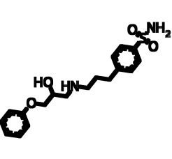 NS(=O)(=O)c1ccc(CCCNCC(O)COc2ccccc2)cc1